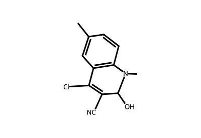 Cc1ccc2c(c1)C(Cl)=C(C#N)C(O)N2C